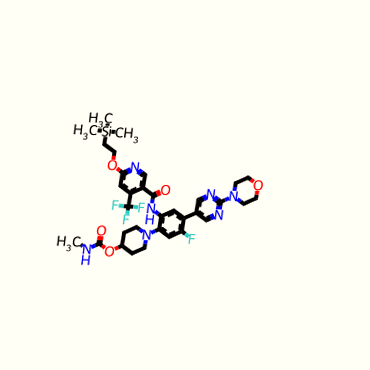 CNC(=O)OC1CCN(c2cc(F)c(-c3cnc(N4CCOCC4)nc3)cc2NC(=O)c2cnc(OCC[Si](C)(C)C)cc2C(F)(F)F)CC1